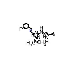 CN(C)c1nc(/C=C/c2cccc(F)c2)nc(Nc2cc(C3CC3)[nH]n2)n1